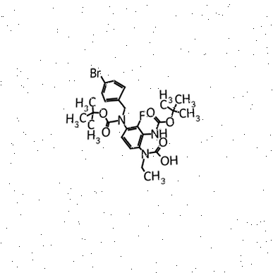 CCN(C(=O)O)c1ccc(N(Cc2ccc(Br)cc2)C(=O)OC(C)(C)C)c(F)c1NC(=O)OC(C)(C)C